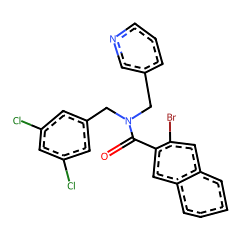 O=C(c1cc2ccccc2cc1Br)N(Cc1cccnc1)Cc1cc(Cl)cc(Cl)c1